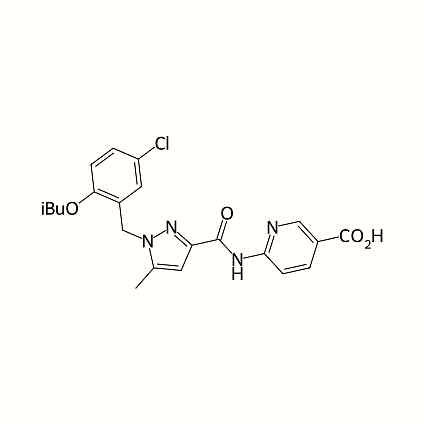 Cc1cc(C(=O)Nc2ccc(C(=O)O)cn2)nn1Cc1cc(Cl)ccc1OCC(C)C